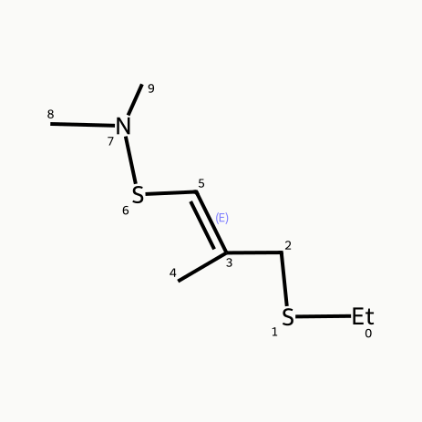 CCSC/C(C)=C/SN(C)C